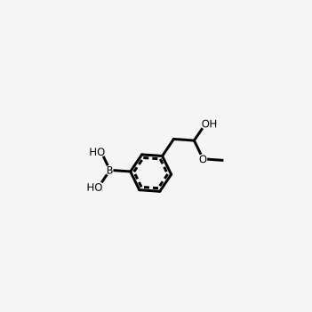 COC(O)Cc1cccc(B(O)O)c1